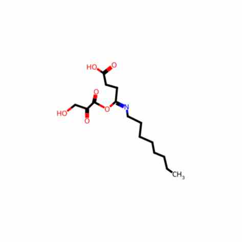 CCCCCCCCN=C(CCC(=O)O)OC(=O)C(=O)CO